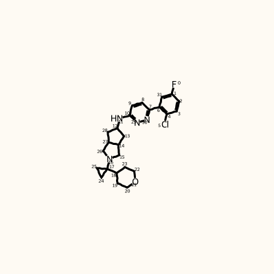 Fc1ccc(Cl)c(-c2ccc(NC3CC4CN(C5(C6CCOCC6)CC5)CC4C3)nn2)c1